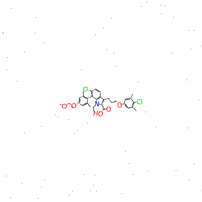 CCn1c(C(=O)O)c(CCCOc2cc(C)c(Cl)c(C)c2)c2ccc(Cl)c(-c3c(C)cc(OCOC)cc3C)c21